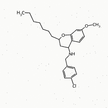 CCCCCCCC1CC(NCc2ccc(Cl)cc2)c2ccc(OC)cc2O1